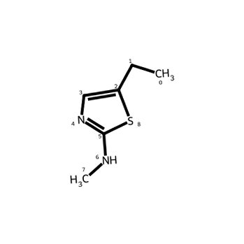 CCc1cnc(NC)s1